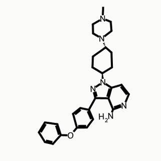 CN1CCN([C@H]2CC[C@H](n3nc(-c4ccc(Oc5ccccc5)cc4)c4c(N)nccc43)CC2)CC1